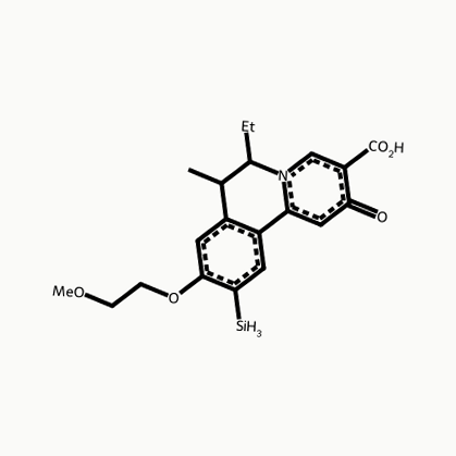 CCC1C(C)c2cc(OCCOC)c([SiH3])cc2-c2cc(=O)c(C(=O)O)cn21